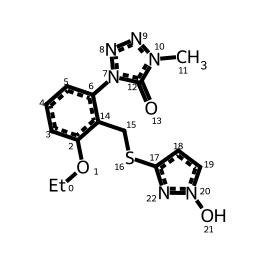 CCOc1cccc(-n2nnn(C)c2=O)c1CSc1ccn(O)n1